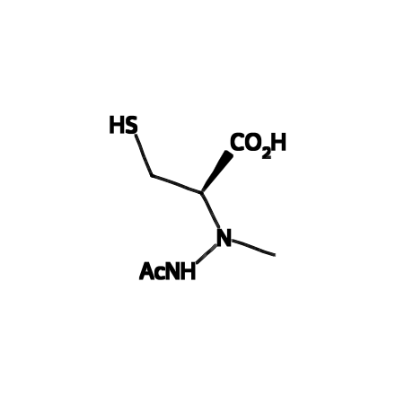 CC(=O)NN(C)[C@@H](CS)C(=O)O